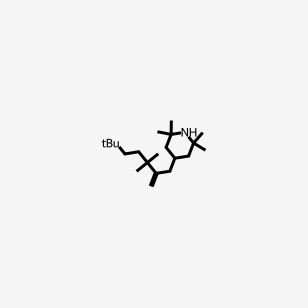 C=C(CC1CC(C)(C)NC(C)(C)C1)C(C)(C)CCC(C)(C)C